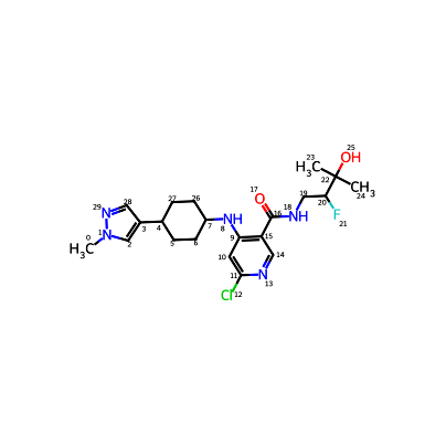 Cn1cc(C2CCC(Nc3cc(Cl)ncc3C(=O)NCC(F)C(C)(C)O)CC2)cn1